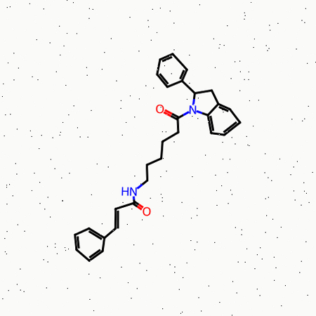 O=C(/C=C/c1ccccc1)NCCCCCC(=O)N1c2ccccc2CC1c1ccccc1